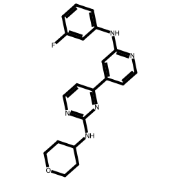 Fc1cccc(Nc2cc(-c3ccnc(NC4CCOCC4)n3)ccn2)c1